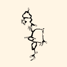 COC(=O)Nc1ccc2c(c1)NC(=O)CCN(C)CCC(NC(=O)C=Cc1cc(Cl)ccc1-n1cnnn1)c1nc-2c[nH]1